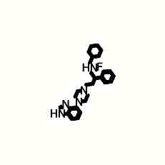 Fc1ccccc1C(CCN1CCN(c2cccc3[nH]cnc23)CC1)CNCC1CCCCC1